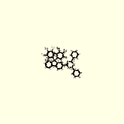 [2H]c1c([2H])c([2H])c(C2(c3c([2H])c([2H])c([2H])c([2H])c3[2H])c3ccccc3-c3ccc(-c4nc(-c5ccccc5)nc(-c5ccccc5)n4)cc32)c([2H])c1[2H]